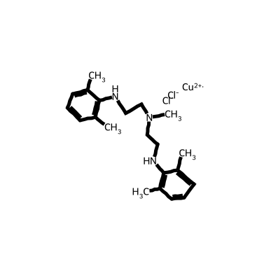 Cc1cccc(C)c1NCCN(C)CCNc1c(C)cccc1C.[Cl-].[Cl-].[Cu+2]